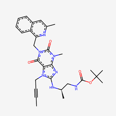 CC#CCn1c(N[C@H](C)CNC(=O)OC(C)(C)C)nc2c1c(=O)n(Cc1nc(C)cc3ccccc13)c(=O)n2C